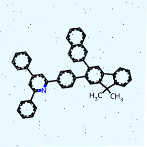 CC1(C)c2ccccc2-c2cc(-c3ccc4ccccc4c3)c(-c3ccc(-c4cc(-c5ccccc5)cc(-c5ccccc5)n4)cc3)cc21